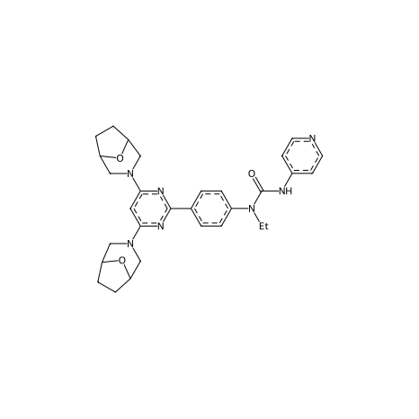 CCN(C(=O)Nc1ccncc1)c1ccc(-c2nc(N3CC4CCC(C3)O4)cc(N3CC4CCC(C3)O4)n2)cc1